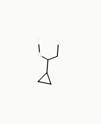 CCNC(CN)C1CC1